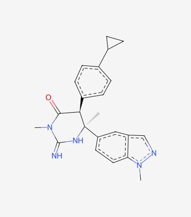 CN1C(=N)N[C@](C)(c2ccc3c(cnn3C)c2)[C@H](c2ccc(C3CC3)cc2)C1=O